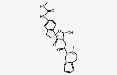 CNC(=O)Nc1ccc2c(c1)CC[C@@]21OC(O)N(CC(=O)N2Cc3ccccc3CC[C@H]2C)C1=O